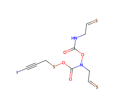 O=C(NCC=S)ON(CC=S)C(=O)OSCC#CI